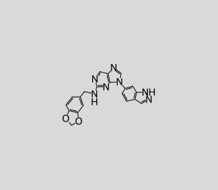 c1cc2c(cc1CNc1ncc3ncn(-c4ccc5cn[nH]c5c4)c3n1)OCO2